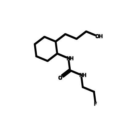 O=C(NCCF)NC1CCCCC1CCCO